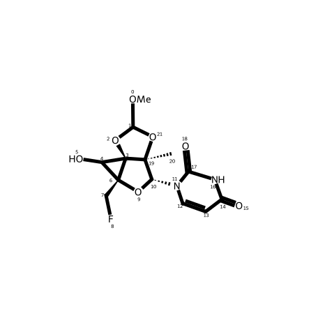 COC1O[C@]23C(O)[C@@]2(CF)O[C@@H](n2ccc(=O)[nH]c2=O)[C@]3(C)O1